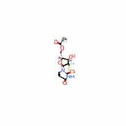 CC(C)C(=O)OC[C@H]1O[C@@H](n2ccc(=O)[nH]c2=O)[C@](C)(F)[C@@H]1O